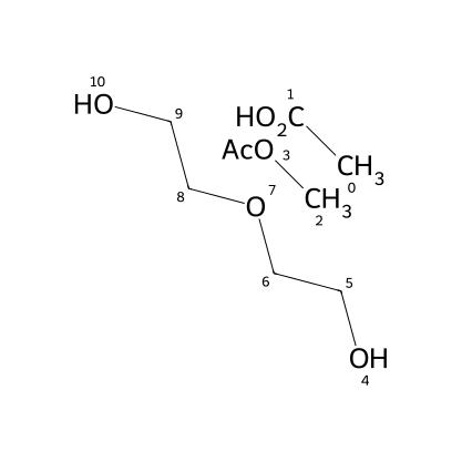 CC(=O)O.COC(C)=O.OCCOCCO